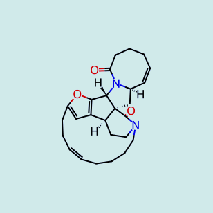 O=C1CCC/C=C\[C@H]2C[C@@]34C(=O)N5CCCC/C=C\CCc6cc(c(o6)[C@@H]3N12)[C@@H]4CC5